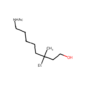 CCC(C)(CCO)CCCCCNC(C)=O